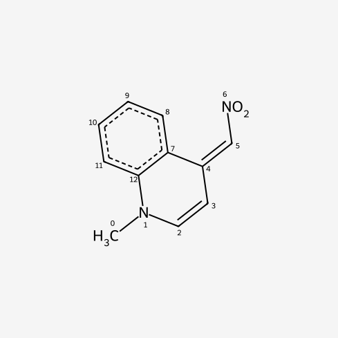 CN1C=C/C(=C/[N+](=O)[O-])c2ccccc21